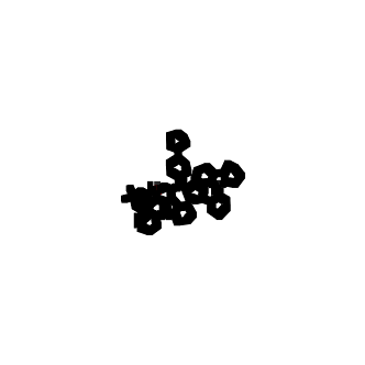 CC1(C)C[C@H]2CCC[C@@H](C1)C21c2ccccc2-n2c3ccccc3c3c(N(c4ccc(-c5ccccc5)cc4)c4ccc(-c5ccccc5-n5c6ccccc6c6ccccc65)cc4)ccc1c32